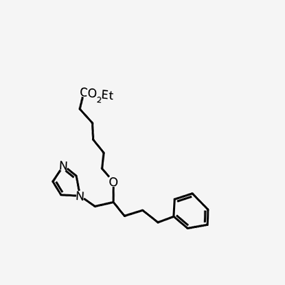 CCOC(=O)CCCCCOC(CCCc1ccccc1)Cn1ccnc1